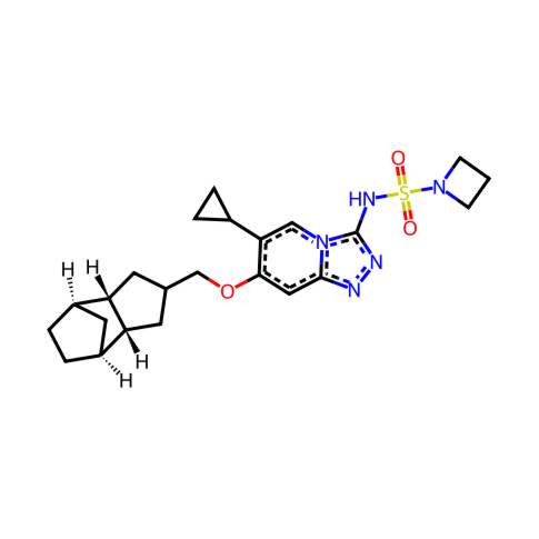 O=S(=O)(Nc1nnc2cc(OCC3C[C@@H]4[C@H]5CC[C@H](C5)[C@@H]4C3)c(C3CC3)cn12)N1CCC1